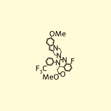 COC(=O)CC1c2cccc(F)c2N=C(N2CCn3c(cc4ccc(OC)cc43)C2)N1c1cccc(C(F)(F)F)c1